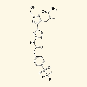 CN(Cc1nc(CO)sc1-c1csc(NC(=O)Cc2ccc(S(=O)(=O)C(F)(F)F)cc2)n1)C(N)=O